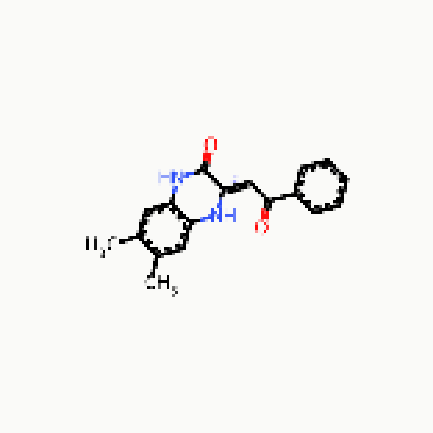 Cc1cc2c(cc1C)N/C(=C\C(=O)c1ccccc1)C(=O)N2